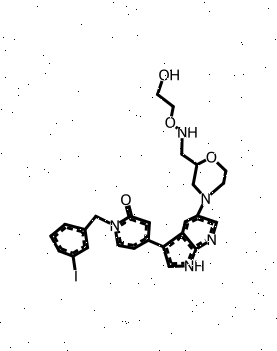 O=c1cc(-c2c[nH]c3ncc(N4CCOC(CNOCCO)C4)cc23)ccn1Cc1cccc(I)c1